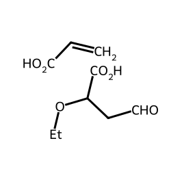 C=CC(=O)O.CCOC(CC=O)C(=O)O